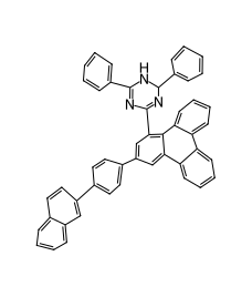 c1ccc(C2=NC(c3cc(-c4ccc(-c5ccc6ccccc6c5)cc4)cc4c5ccccc5c5ccccc5c34)=NC(c3ccccc3)N2)cc1